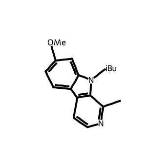 CCC(C)n1c2cc(OC)ccc2c2ccnc(C)c21